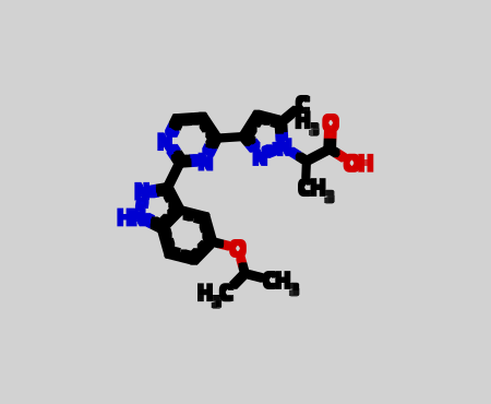 Cc1cc(-c2ccnc(-c3n[nH]c4ccc(OC(C)C)cc34)n2)nn1C(C)C(=O)O